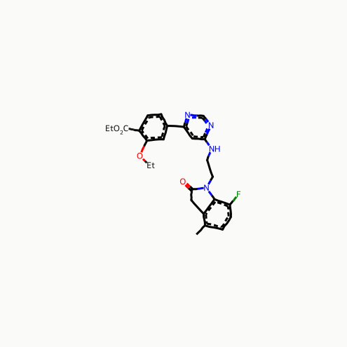 CCOC(=O)c1ccc(-c2cc(NCCN3C(=O)Cc4c(C)ccc(F)c43)ncn2)cc1OCC